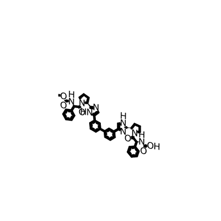 COC(=O)N[C@@H](C(=O)N1CCC[C@H]1c1ncc(-c2cccc(-c3cccc(-c4c[nH]c([C@@H]5CCCN5C(=O)[C@H](NC(=O)O)c5ccccc5)n4)c3)c2)[nH]1)c1ccccc1